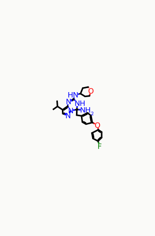 CC(C)c1cnn2c1N=C(NC1CCOCC1)NC2(N)Cc1ccc(Oc2ccc(F)cc2)cc1